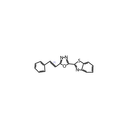 C(=C\c1nnc(-c2nc3ccccc3s2)o1)/c1ccccc1